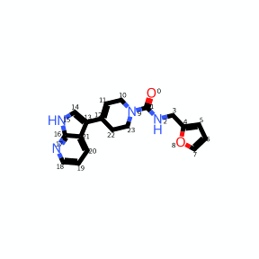 O=C(NCc1ccco1)N1CC=C(c2c[nH]c3ncccc23)CC1